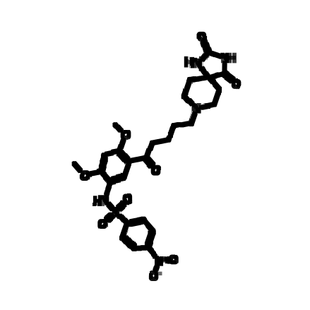 COc1cc(OC)c(C(=O)CCCCN2CCC3(CC2)NC(=O)NC3=O)cc1NS(=O)(=O)c1ccc([N+](=O)[O-])cc1